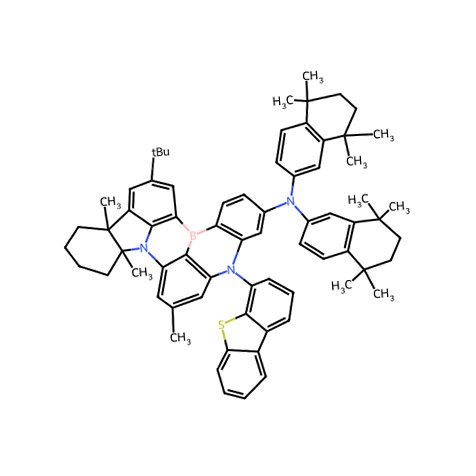 Cc1cc2c3c(c1)N1c4c(cc(C(C)(C)C)cc4C4(C)CCCCC14C)B3c1ccc(N(c3ccc4c(c3)C(C)(C)CCC4(C)C)c3ccc4c(c3)C(C)(C)CCC4(C)C)cc1N2c1cccc2c1sc1ccccc12